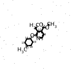 C=Cc1c(C(=O)OC)ccnc1O[C@H]1CC[C@H](C)CC1